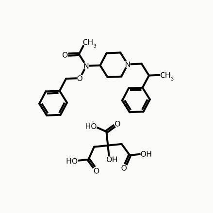 CC(=O)N(OCc1ccccc1)C1CCN(CC(C)c2ccccc2)CC1.O=C(O)CC(O)(CC(=O)O)C(=O)O